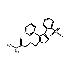 CN(O)C(=O)CCCc1scc(-c2ccccc2S(C)(=O)=O)c1-c1ccccc1